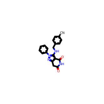 N#Cc1ccc(CNc2c3c(nn2-c2ccccc2)CC(=O)NC3=O)cc1